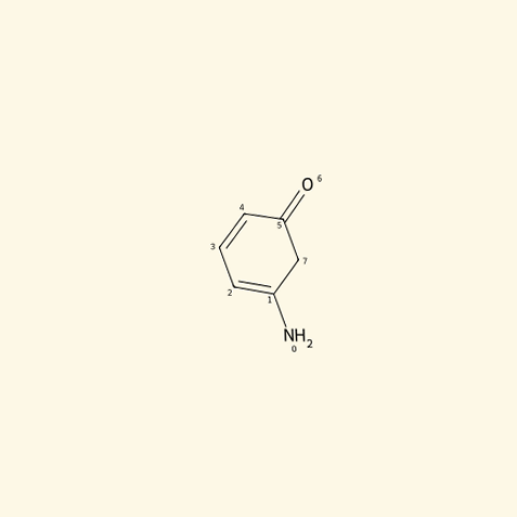 NC1=CC=CC(=O)C1